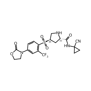 N#CC1(NC(=O)[C@@H]2C[C@@H](S(=O)(=O)c3ccc(N4CCOC4=O)cc3C(F)(F)F)CN2)CC1